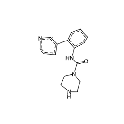 O=C(Nc1ccccc1-c1[c]nccc1)N1CCNCC1